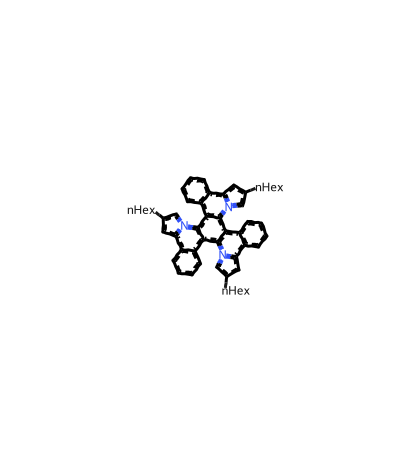 CCCCCCc1cc2c3ccccc3c3c(c4c5ccccc5c5cc(CCCCCC)cn5c4c4c5ccccc5c5cc(CCCCCC)cn5c34)n2c1